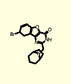 O=c1[nH]c(CN2C3CCCC2CC3)nc2c3c(oc12)C=CC(Br)C3